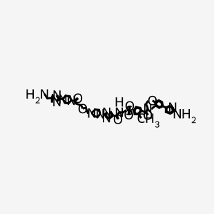 Cc1cc(S(=O)(=O)CCNC(=O)c2cnc(N3CCN(CCOCCC(=O)N4CCN(c5ncc(CN)cn5)CC4)CC3)nc2)ccc1C(=O)N1CCOc2ccc(-c3ccc(N)nc3)cc2C1